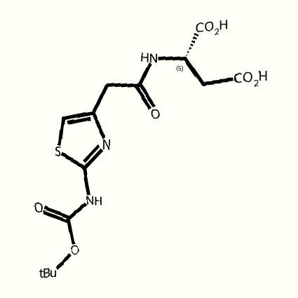 CC(C)(C)OC(=O)Nc1nc(CC(=O)N[C@@H](CC(=O)O)C(=O)O)cs1